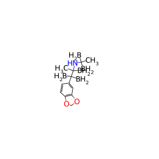 BC(B)(C)NC(B)(C)C(B)(B)c1ccc2c(c1)OCO2